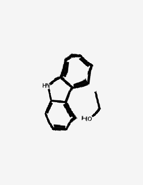 CCO.c1ccc2c(c1)[nH]c1ccccc12